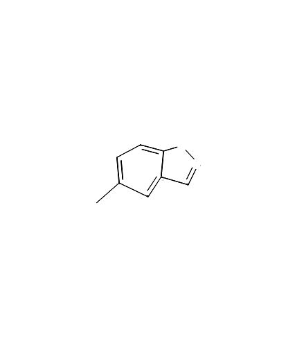 Brc1ccc2sn[c]c2c1